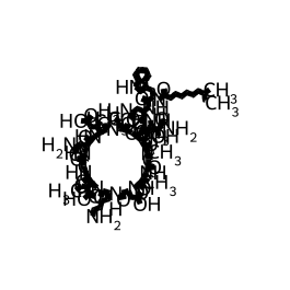 CCC(C)CCCCCCC(=O)NC(Cc1c[nH]c2ccccc12)C(=O)NC(CC(N)=O)C(=O)NC(C(=O)NC1C(=O)N(C)CC(=O)NC(C)C(=O)NC(CC(=O)O)C(=O)NC(CCCCN)C(=O)NC(C(OC)C(=O)O)C(=O)NCC(=O)NC(CC(N)=O)C(=O)NC(C(C)CC(=O)O)C(=O)NC(C(C)C)C(=O)OC1C)C(O)C(N)=O